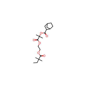 CCC(C)(C)C(=O)OCCOC(=O)C(C)(C)OC(=O)C1CC2CCC1C2